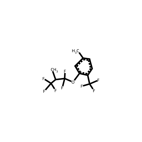 Cc1ccc(C(F)(F)F)c(OC(F)(F)C(C)C(F)(F)F)c1